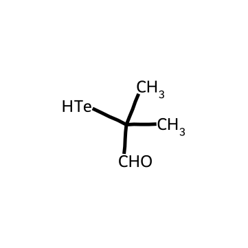 CC(C)([TeH])C=O